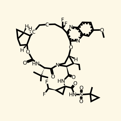 CC[C@@H]1[C@@H]2CN(C(=O)[C@H](C(C)(C)C)NC(=O)O[C@@H]3CC4C[C@@H]4[C@H]3CCCCC(F)(F)c3nc4ccc(OC)cc4nc3O2)[C@@H]1C(=O)N[C@]1(C(=O)NS(=O)(=O)C2(C)CC2)C[C@H]1C(F)F